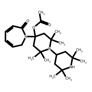 CC(=O)OC1(N2CC=CC=CC2=O)CC(C)(C)N(C2CC(C)(C)NC(C)(C)C2)C(C)(C)C1